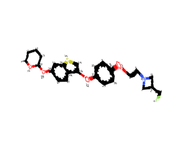 FCC1CN(CCOc2ccc(Oc3[c]sc4cc(OC5CCCCO5)ccc34)cc2)C1